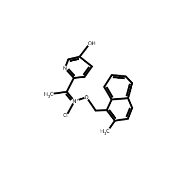 CC(c1ccc(O)cn1)=[N+](Cl)OCc1c(C)ccc2ccccc12